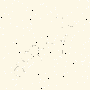 O=c1ccn(C2OC(COP(=O)(O)OP(=O)(O)OP(=O)(O)O)C(O)C2O)c(=O)n1Cc1noc2ccccc12